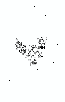 Cc1cc(Nc2cc(C)c(C3CN(S(=O)(=O)c4cnn(C)n4)CCN3CCC(F)(F)F)cc2C=N)ncn1